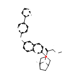 CO[C@@H](C)C(=O)N1CC2CC[C@H](C1)N2Cc1ccc2cc(Oc3ccc(-c4ccn[nH]4)cn3)ccc2n1